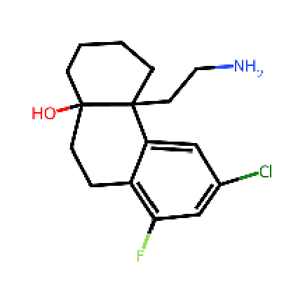 NCCC12CCCCC1(O)CCc1c(F)cc(Cl)cc12